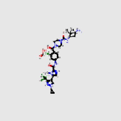 Cn1c(-c2cn(C3CC3)nc2C(F)(F)F)cnc1C(=O)Nc1ccc(C(=O)N2CCN(C(=O)N[C@@H]3C[C@H](N)C3(C)C)CC2)c(Cl)c1.O=CO